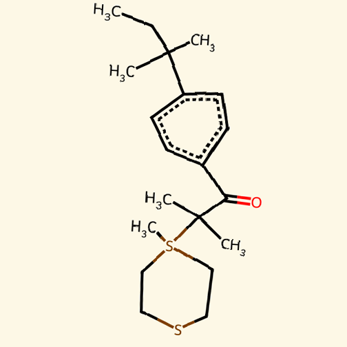 CCC(C)(C)c1ccc(C(=O)C(C)(C)S2(C)CCSCC2)cc1